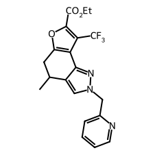 CCOC(=O)c1oc2c(c1C(F)(F)F)-c1nn(Cc3ccccn3)cc1C(C)C2